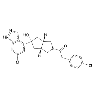 O=C(Cc1ccc(Cl)cc1)N1C[C@@H]2C[C@@](O)(c3cc(Cl)cc4[nH]ncc34)C[C@@H]2C1